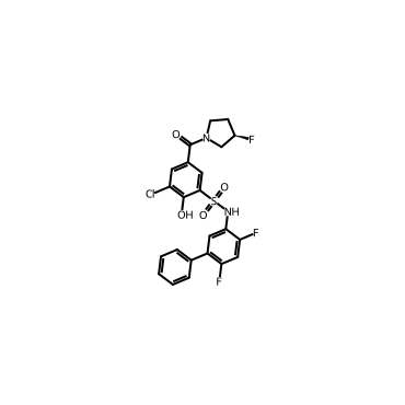 O=C(c1cc(Cl)c(O)c(S(=O)(=O)Nc2cc(-c3ccccc3)c(F)cc2F)c1)N1CC[C@@H](F)C1